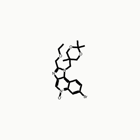 CCOCc1nc2c[n+]([O-])c3cc(Br)ccc3c2n1CC1(C)COC(C)(C)OC1